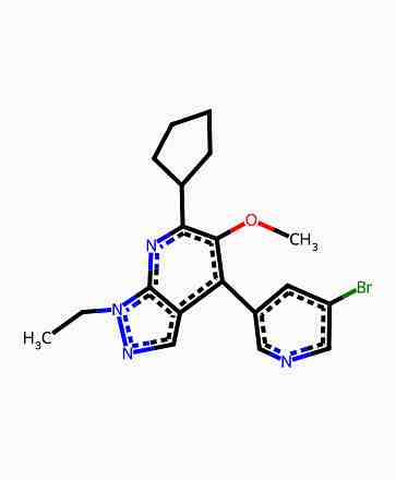 CCn1ncc2c(-c3cncc(Br)c3)c(OC)c(C3CCCC3)nc21